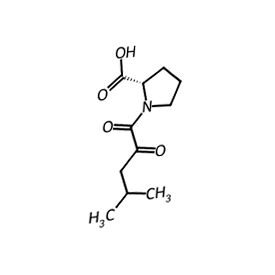 CC(C)CC(=O)C(=O)N1CCC[C@H]1C(=O)O